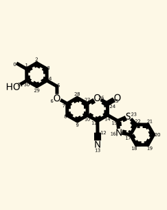 Cc1ccc(COc2ccc3c(C#N)c(-c4nc5ccccc5s4)c(=O)oc3c2)cc1O